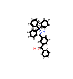 OC(c1ccccc1)c1cccc(CNC(c2ccccc2)(c2ccccc2)c2ccccc2)c1